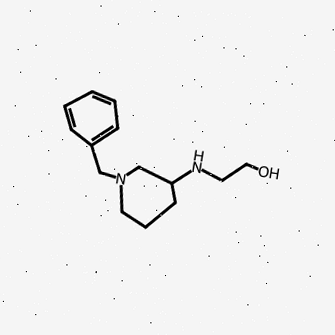 OCCNC1CCCN(Cc2ccccc2)C1